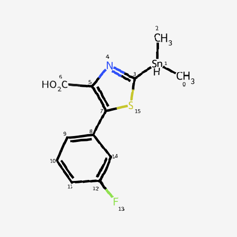 [CH3][SnH]([CH3])[c]1nc(C(=O)O)c(-c2cccc(F)c2)s1